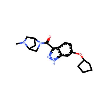 CN1CC2CC1CN2C(=O)c1n[nH]c2cc(OC3CCCC3)ccc12